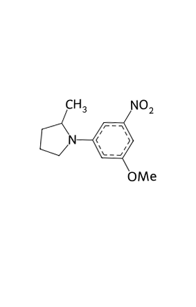 COc1cc(N2CCCC2C)cc([N+](=O)[O-])c1